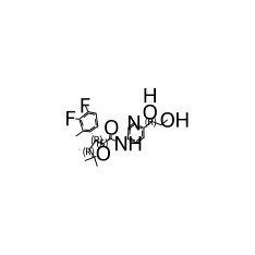 Cc1c([C@@H]2[C@@H](C(=O)Nc3ccc([C@@H](O)CO)nc3)OC(C)(C)[C@@H]2C)ccc(F)c1F